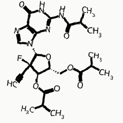 C#C[C@@]1(F)[C@H](OC(=O)C(C)C)[C@@H](COC(=O)C(C)C)O[C@H]1n1cnc2c(=O)[nH]c(NC(=O)C(C)C)nc21